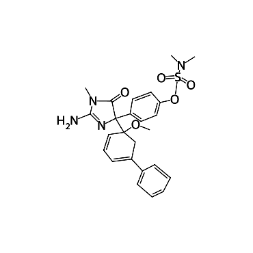 COC1(C2(c3ccc(OS(=O)(=O)N(C)C)cc3)N=C(N)N(C)C2=O)C=CC=C(c2ccccc2)C1